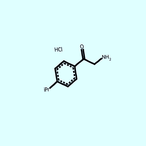 CC(C)c1ccc(C(=O)CN)cc1.Cl